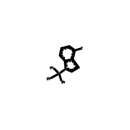 CC(C)[Si](C(C)C)(C(C)C)n1ccc2c(F)cccc21